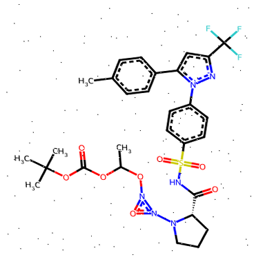 Cc1ccc(-c2cc(C(F)(F)F)nn2-c2ccc(S(=O)(=O)NC(=O)[C@@H]3CCCN3n3on3OC(C)OC(=O)OC(C)(C)C)cc2)cc1